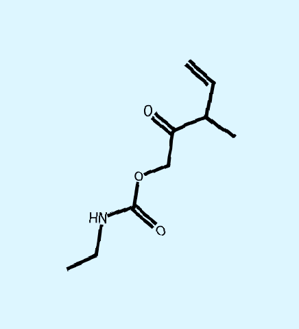 C=CC(C)C(=O)COC(=O)NCC